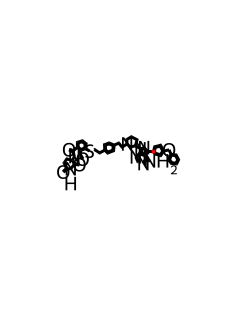 Nc1ncnc2c1c(-c1ccc(Oc3ccccc3)cc1)nn2C1CCCN(CCc2ccc(CCSc3cccc4c3C(=O)N(C3CCC(=O)NC3=O)C4=O)cc2)C1